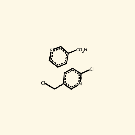 ClCc1ccc(Cl)nc1.O=C(O)c1cccnc1